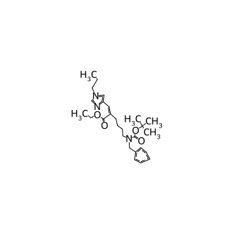 CCCn1cnc(C=C(CCCCN(Cc2ccccc2)C(=O)OC(C)(C)C)C(=O)OCC)c1